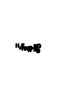 CCCNc1ccc(-c2nc(=O)c3ccccc3s2)cn1